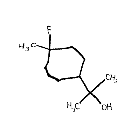 CC1(F)CCC(C(C)(C)O)CC1